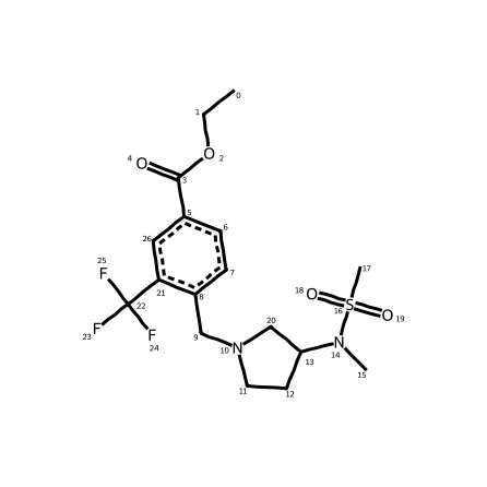 CCOC(=O)c1ccc(CN2CCC(N(C)S(C)(=O)=O)C2)c(C(F)(F)F)c1